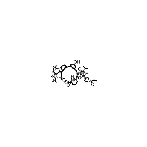 C=CC(=O)N1CC[C@H](C(=O)N(C)[C@H](C(=O)N[C@H]2Cc3cc(O)cc(c3)-c3ccc4c(c3)c(c(-c3nc(N(C)C)n(C)c3[C@H](C)OC)n4CC)CC(C)(C)COC(=O)[C@@H]3CCCN(N3)C2=O)C(C)C)C1